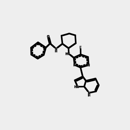 O=C(NC1CCCCC1Nc1nc(C2=CNC3NC=CC=C23)ncc1F)c1ccccc1